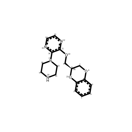 c1ccc2c(c1)OC[C@H](COc1nccnc1N1CCNCC1)O2